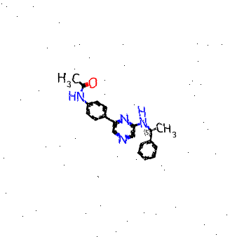 CC(=O)Nc1ccc(-c2cncc(N[C@@H](C)c3ccccc3)n2)cc1